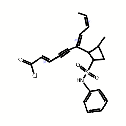 C/C=C\C=C(\C#C/C=C/C(=O)Cl)C1C(C)CC1S(=O)(=O)Nc1ccccc1